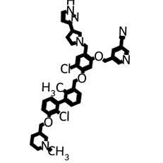 Cc1c(COc2cc(OCc3cncc(C#N)c3)c(CN3CCC(c4cc[nH]n4)C3)cc2Cl)cccc1-c1cccc(OCC2CCCN(C)C2)c1Cl